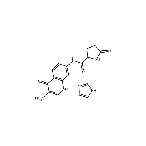 O=C1CCC(C(=O)Nc2ccc3c(=O)c(C(=O)O)c[nH]c3c2)N1.c1c[nH]cn1